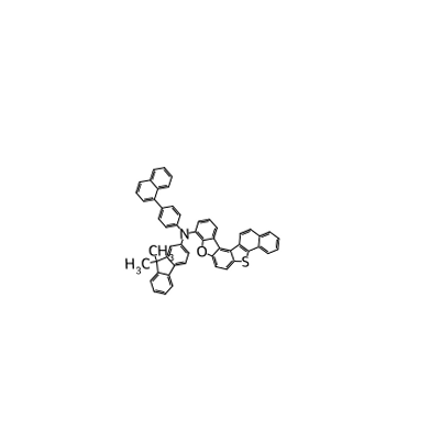 CC1(C)c2ccccc2-c2ccc(N(c3ccc(-c4cccc5ccccc45)cc3)c3cccc4c3oc3ccc5sc6c7ccccc7ccc6c5c34)cc21